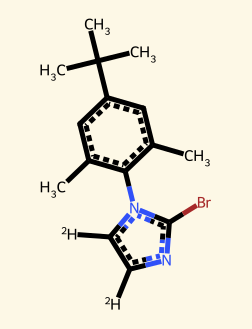 [2H]c1nc(Br)n(-c2c(C)cc(C(C)(C)C)cc2C)c1[2H]